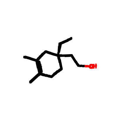 CC[C@@]1(CCO)CCC(C)=C(C)C1